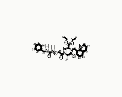 CCOC(OCC)[C@H](C)N(Cc1cccc2cccnc12)C(=O)[C@H](C)NC(=O)CONC(=O)NCc1ccccc1